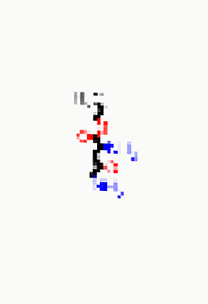 C=CCOC(=O)C(N)CC(=O)CN